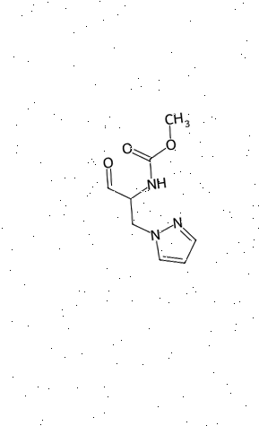 COC(=O)NC(C=O)Cn1cccn1